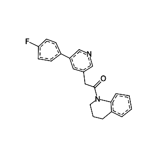 O=C(Cc1cncc(-c2ccc(F)cc2)c1)N1CCCc2ccccc21